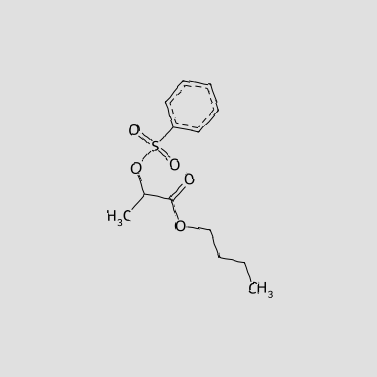 CCCCOC(=O)C(C)OS(=O)(=O)c1ccccc1